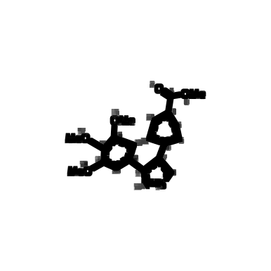 COC(=O)c1ccc(-c2csnc2-c2cc(OC)c(OC)c(OC)c2)cc1